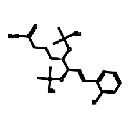 COC(=O)CCC[C@H](O[Si](C)(C)C(C)(C)C)[C@@H](C=Cc1ccccc1Br)O[Si](C)(C)C(C)(C)C